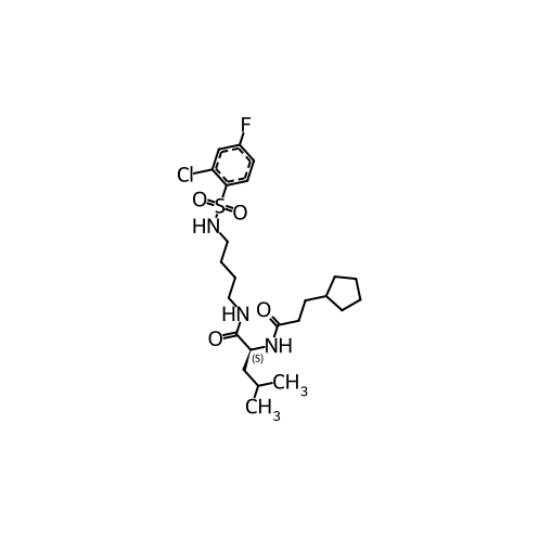 CC(C)C[C@H](NC(=O)CCC1CCCC1)C(=O)NCCCCNS(=O)(=O)c1ccc(F)cc1Cl